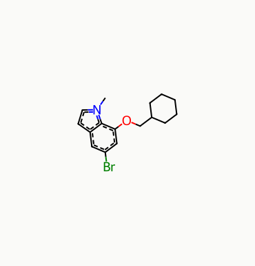 Cn1ccc2cc(Br)cc(OCC3CCCCC3)c21